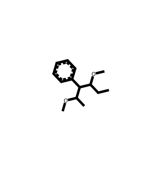 CCC(OC)C(c1ccccc1)C(C)OC